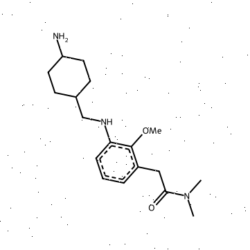 COc1c(CC(=O)N(C)C)cccc1NCC1CCC(N)CC1